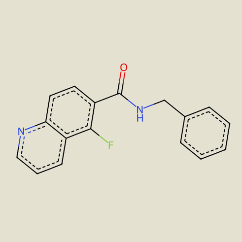 O=C(NCc1ccccc1)c1ccc2ncccc2c1F